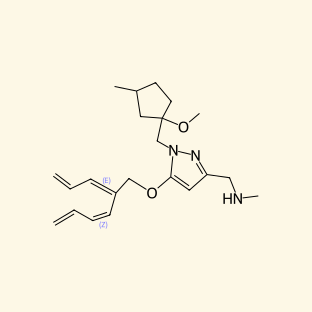 C=C/C=C\C(=C/C=C)COc1cc(CNC)nn1CC1(OC)CCC(C)C1